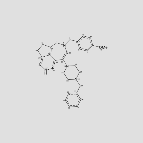 COc1ccc(CN2CC3=C4C(=NNN=C4C(N4CCN(Cc5ccccc5)CC4)=N2)CC3)cc1